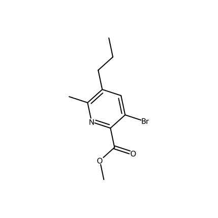 CCCc1cc(Br)c(C(=O)OC)nc1C